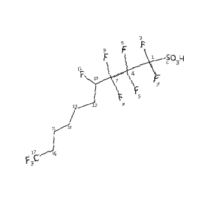 O=S(=O)(O)C(F)(F)C(F)(F)C(F)(F)C(F)CCCCCC(F)(F)F